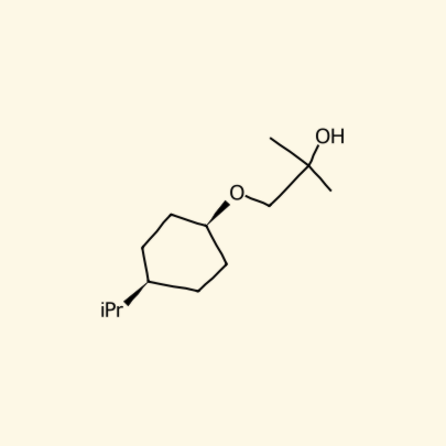 CC(C)[C@H]1CC[C@@H](OCC(C)(C)O)CC1